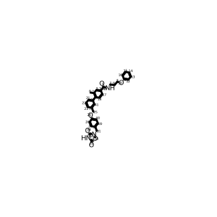 Cc1cc(C(=O)NCCCOc2ccccc2)ccc1-c1cccc(COc2ccc(Cn3oc(=O)[nH]c3=O)cc2)c1